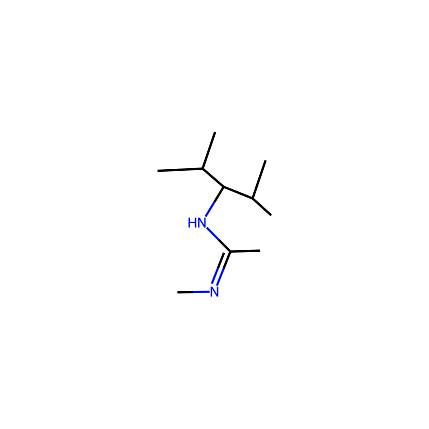 C/N=C(/C)NC(C(C)C)C(C)C